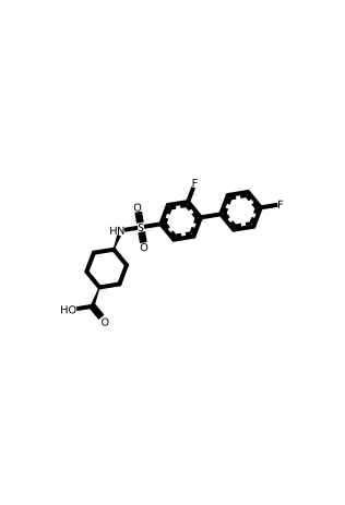 O=C(O)[C@H]1CC[C@@H](NS(=O)(=O)c2ccc(-c3ccc(F)cc3)c(F)c2)CC1